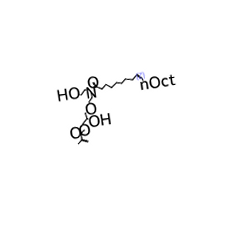 C=C(C)C(=O)OCC(O)COCCN(CCO)C(=O)CCCCCCC/C=C\CCCCCCCC